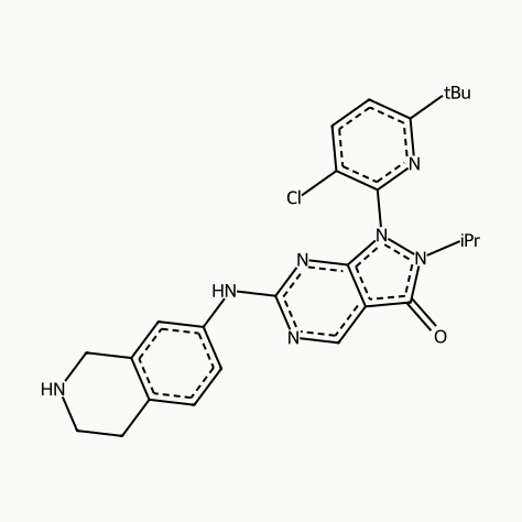 CC(C)n1c(=O)c2cnc(Nc3ccc4c(c3)CNCC4)nc2n1-c1nc(C(C)(C)C)ccc1Cl